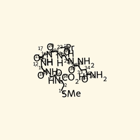 CSCC[C@H](NC(=O)CNC(=O)[C@H](C)NC(=O)[C@H](C)NC(=O)[C@H](CC(C)C)NC(=O)CNC(=O)[C@@H](N)CCC(N)=O)C(=O)O